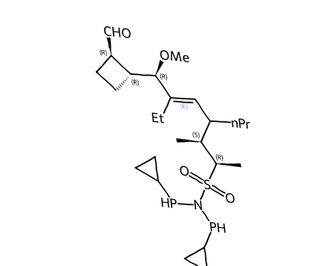 CCCC(/C=C(\CC)[C@H](OC)[C@@H]1CC[C@H]1C=O)[C@H](C)[C@@H](C)S(=O)(=O)N(PC1CC1)PC1CC1